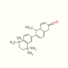 CC1(C)CCC(C)(C)c2cc(C3=CC=C4CC(=C=O)C=CC4C3C(=O)O)ccc21